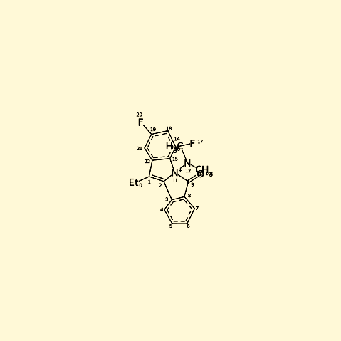 CCC1=C2c3ccccc3C(=O)[N+]2(N(C)C)c2c(F)cc(F)cc21